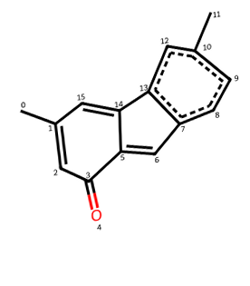 CC1=CC(=O)C2=Cc3ccc(C)cc3C2=C1